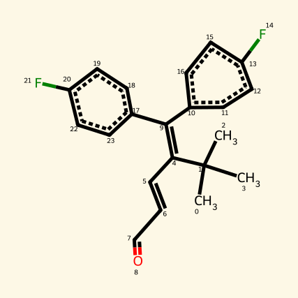 CC(C)(C)C(C=CC=O)=C(c1ccc(F)cc1)c1ccc(F)cc1